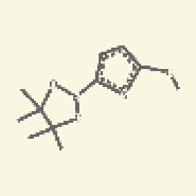 COc1ccc(B2OC(C)(C)C(C)(C)O2)s1